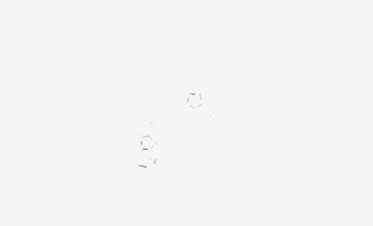 CC(=O)Nc1nc(NCCSCc2cc(C)c(CN(C)C)s2)n(C)n1